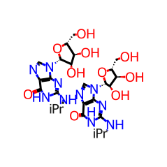 CC(C)Nc1nc2c(ncn2[C@@H]2O[C@H](CO)[C@@H](O)[C@H]2O)c(=O)[nH]1.CC(C)Nc1nc2c(ncn2[C@@H]2O[C@H](CO)[C@@H](O)[C@H]2O)c(=O)[nH]1